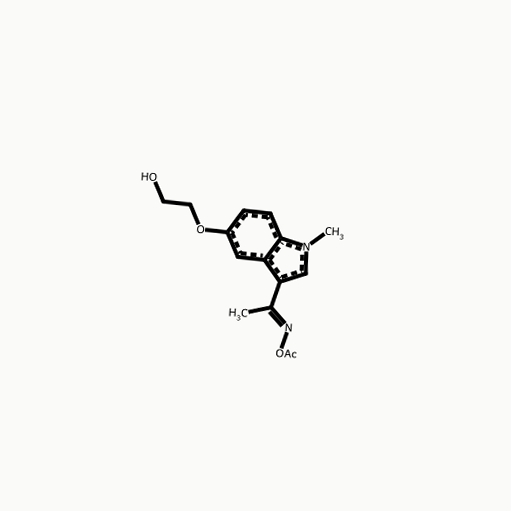 CC(=O)O/N=C(\C)c1cn(C)c2ccc(OCCO)cc12